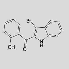 O=C(c1ccccc1O)c1[nH]c2ccccc2c1Br